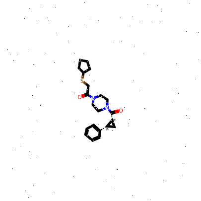 O=C(CSC1CCCC1)N1CCN(C(=O)[C@@H]2C[C@@H]2c2ccccc2)CC1